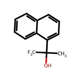 CC(O)(c1cccc2ccccc12)C(F)(F)F